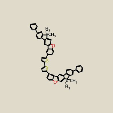 CC1(C)c2cc(-c3ccccc3)ccc2-c2cc3c(cc21)oc1ccc(-c2ccc(-c4ccc(-c5ccc6oc7cc8c(cc7c6c5)-c5ccc(-c6ccccc6)cc5C8(C)C)s4)s2)cc13